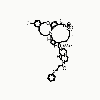 CO[C@@]1(CN2CCN3CCN(C(=O)CCSc4ccccc4)C[C@@H]3C2)/C=C/C[C@H](C)[C@@H](C)S(=O)(=O)NC(=O)c2ccc3c(c2)N(CCCCc2cc(Cl)ccc2CO3)C[C@@H]2CC[C@H]21